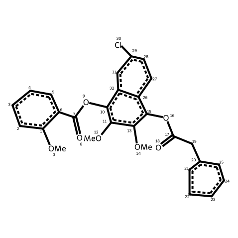 COc1ccccc1C(=O)Oc1c(OC)c(OC)c(OC(=O)Cc2ccccc2)c2ccc(Cl)cc12